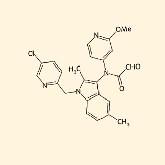 COc1cc(N(C(=O)C=O)c2c(C)n(Cc3ccc(Cl)cn3)c3ccc(C)cc23)ccn1